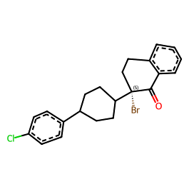 O=C1c2ccccc2CC[C@]1(Br)C1CCC(c2ccc(Cl)cc2)CC1